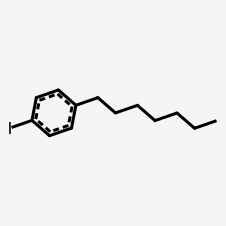 CCCCCCCc1ccc(I)cc1